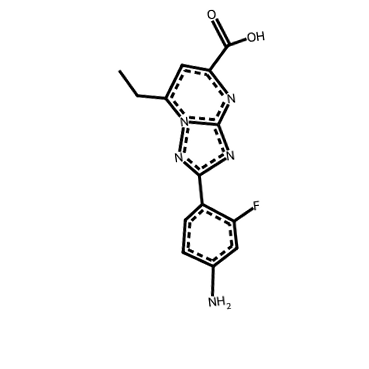 CCc1cc(C(=O)O)nc2nc(-c3ccc(N)cc3F)nn12